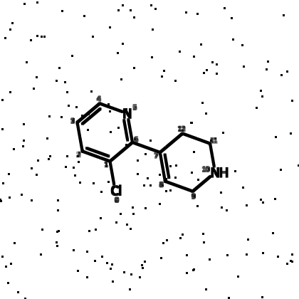 Clc1cccnc1C1=CCNCC1